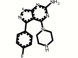 Nc1nc(N2CCNCC2)c2c(-c3ccc(F)cc3)nsc2n1